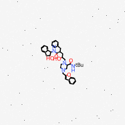 CC(C)(C)NC(=O)C1CN(Cc2cc3ccccc3o2)CCN1CC(O)CC(Cc1ccccc1)C(=O)NC1c2ccccc2CC1O